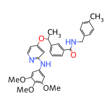 COc1cc(Nc2cc(OC(C)c3cccc(C(=O)NCc4ccc(C)cc4)c3)ccn2)cc(OC)c1OC